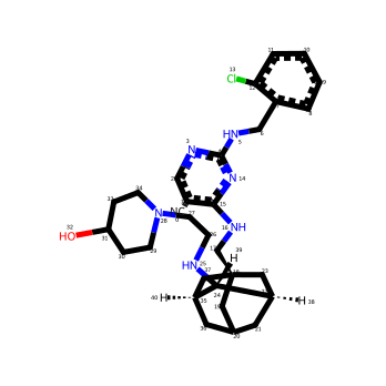 N#Cc1cnc(NCc2ccccc2Cl)nc1NC[C@]12CC3C[C@H](C1)[C@@H](NCCN1CCC(O)CC1)[C@@H](C3)C2